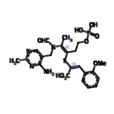 COc1ccccc1/C=C(/S/C(CCOP(=O)(O)O)=C(/C)N(C=O)Cc1cnc(C)nc1N)C(=O)O